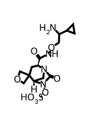 NC(CONC(=O)[C@@H]1CC2(COC2)[C@@H]2CN1C(=O)N2OS(=O)(=O)O)C1CC1